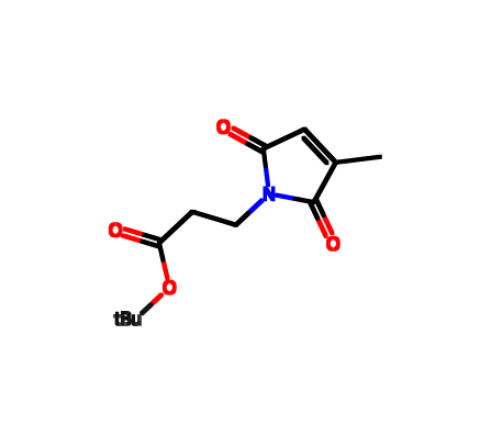 CC1=CC(=O)N(CCC(=O)OC(C)(C)C)C1=O